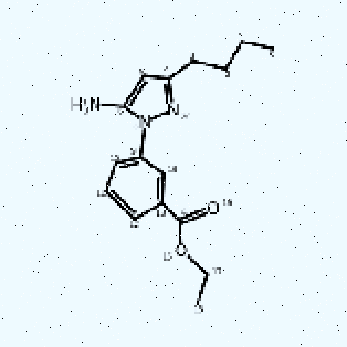 CCCCc1cc(N)n(-c2cccc(C(=O)OCC)c2)n1